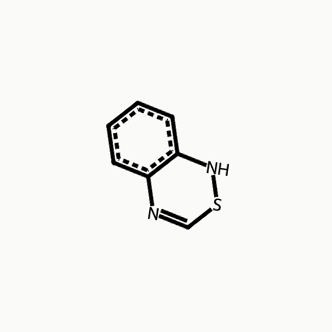 C1=Nc2ccccc2NS1